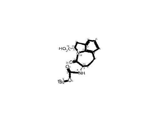 CC(C)(C)OC(=O)N[C@H]1CCc2cccc3c2N(C1=O)[C@H](C(=O)O)C3